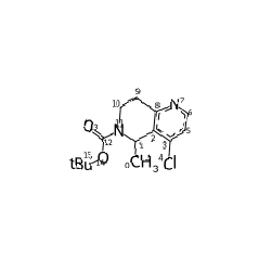 CC1c2c(Cl)ccnc2CCN1C(=O)OC(C)(C)C